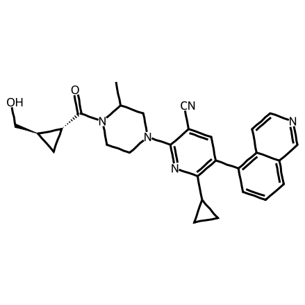 CC1CN(c2nc(C3CC3)c(-c3cccc4cnccc34)cc2C#N)CCN1C(=O)[C@@H]1C[C@H]1CO